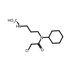 O=C(O)NCCCN(C(=O)CCl)C1CCCCC1